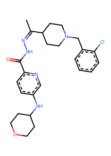 CC(=NNC(=O)c1ccc(NC2CCOCC2)cn1)C1CCN(Cc2ccccc2Cl)CC1